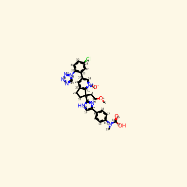 COCCC1(c2nc(-c3ccc(N(C)C(=O)O)cc3)c[nH]2)CCc2cc(-c3cc(Cl)ccc3-n3cnnn3)c[n+]([O-])c21